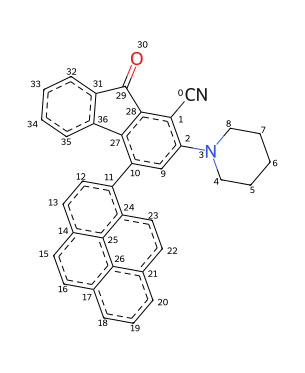 N#Cc1c(N2CCCCC2)cc(-c2ccc3ccc4cccc5ccc2c3c45)c2c1C(=O)c1ccccc1-2